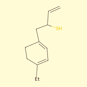 C=CC(S)CC1=CC=C(CC)CC1